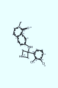 Cn1ccc2ccc(NC3(c4cccc(Cl)c4Cl)CNC3)cc2c1=O